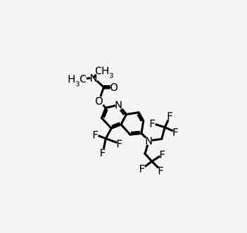 CN(C)C(=O)Oc1cc(C(F)(F)F)c2cc(N(CC(F)(F)F)CC(F)(F)F)ccc2n1